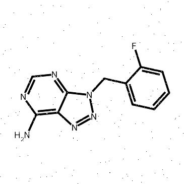 Nc1ncnc2c1nnn2Cc1ccccc1F